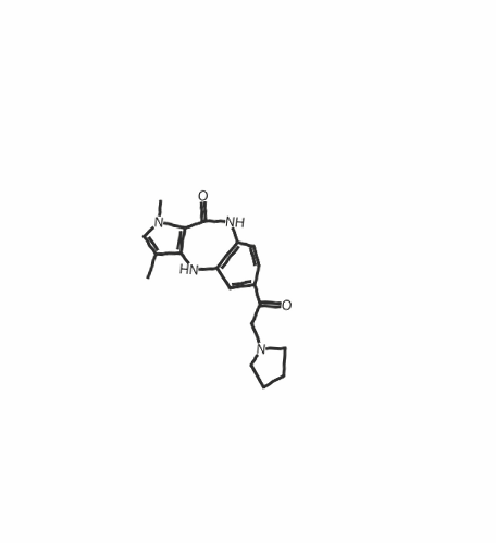 Cc1cn(C)c2c1Nc1cc(C(=O)CN3CCCC3)ccc1NC2=O